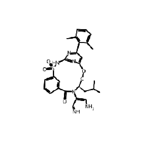 Cc1cccc(C)c1-c1cc2nc(n1)NS(=O)(=O)c1cccc(c1)C(=O)N(/C(C=N)=C/N)[C@H](CC(C)C)CO2